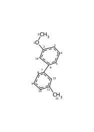 COc1cccc(-c2[c]ccc(C)c2)c1